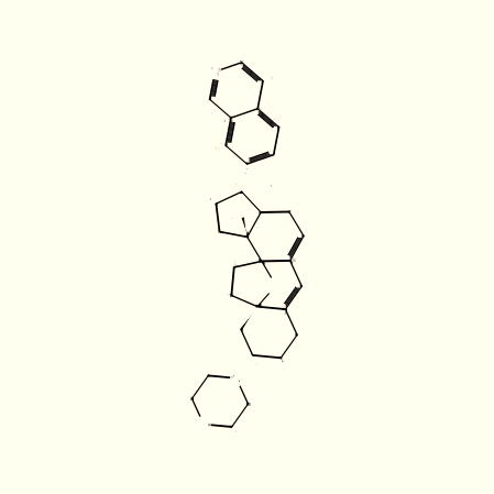 C[C@]12CC=C3C=C4CC[C@H](N5CCOCC5)C[C@]45CCC3(O5)[C@@H]1CC[C@@H]2c1ccc2ccncc2c1